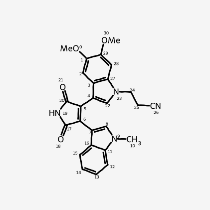 COc1cc2c(C3=C(c4cn(C)c5ccccc45)C(=O)NC3=O)cn(CCC#N)c2cc1OC